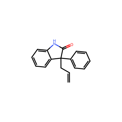 C=CCC1(c2ccccc2)C(=O)Nc2ccccc21